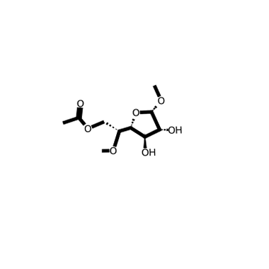 CO[C@H]1O[C@@H]([C@@H](COC(C)=O)OC)[C@H](O)[C@H]1O